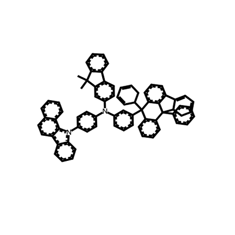 CC1(C)c2ccccc2-c2ccc(N(c3ccc(-n4c5ccccc5c5ccc6ccccc6c54)cc3)c3cccc(C4(C5C=CC=CC5)c5ccccc5C5(c6ccccc6)c6c(cccc64)C4=CC=CCC45)c3)cc21